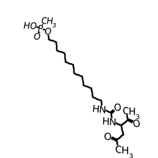 CC(=O)CC(NC(=O)NCCCCCCCCCCCCOP(C)(=O)O)C(C)=O